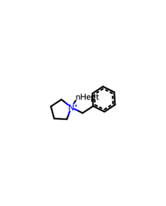 CCCCCCC[N+]1(Cc2ccccc2)CCCC1